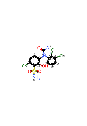 NC(=O)N(c1ccc(Cl)c(S(N)(=O)=O)c1O)c1cccc(Cl)c1Cl